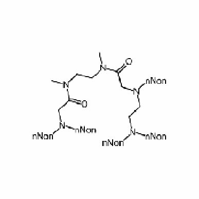 CCCCCCCCCN(CCCCCCCCC)CCN(CCCCCCCCC)CC(=O)N(C)CCN(C)C(=O)CN(CCCCCCCCC)CCCCCCCCC